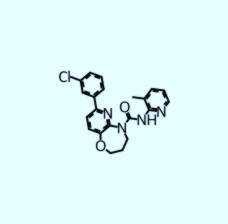 Cc1cccnc1NC(=O)N1CCCOc2ccc(-c3cccc(Cl)c3)nc21